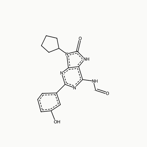 O=[C]Nc1nc(-c2cccc(O)c2)nc2c1[nH]c(=O)n2C1CCCC1